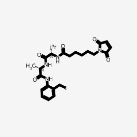 CC(C)[C@H](NC(=O)CCCCCN1C(=O)C=CC1=O)C(=O)N[C@@H](C)C(=O)Nc1ccccc1CI